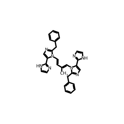 CC(C=Cn1c(-c2ncc[nH]2)cnc1Cc1ccccc1)=Cn1c(-c2ncc[nH]2)cnc1Cc1ccccc1